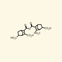 O=C(O)C1CC2CC1C(C(=O)O)C2C(=O)OC(=O)C1C2CC(C(=O)O)C(C2)C1C(=O)O